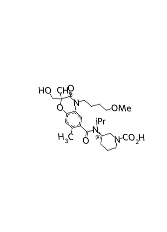 COCCCCN1C(=O)C(C)(CO)Oc2cc(C)c(C(=O)N(C(C)C)[C@@H]3CCCN(C(=O)O)C3)cc21